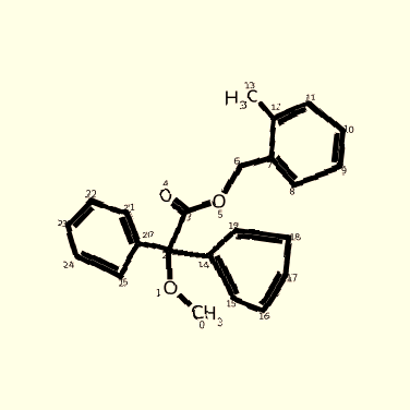 COC(C(=O)OCc1ccccc1C)(c1ccccc1)c1ccccc1